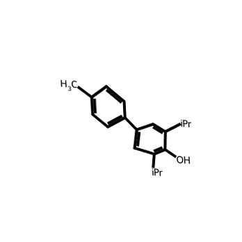 Cc1ccc(-c2cc(C(C)C)c(O)c(C(C)C)c2)cc1